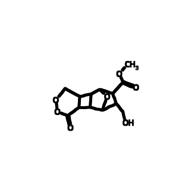 COC(=O)C1C(CO)C2OC1C1C3COOC(=O)C3C21